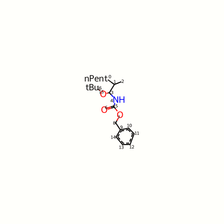 CCCCCC(C)C(NC(=O)OCc1ccccc1)OC(C)(C)C